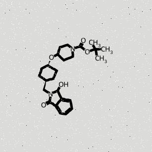 CC(C)(C)OC(=O)N1CCC(O[C@H]2CC[C@H](CN3C(=O)c4ccccc4C3O)CC2)CC1